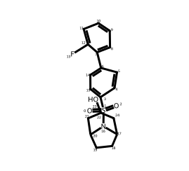 O=S(=O)(c1ccc(-c2ccccc2F)cc1)N1C2CCC1CC(O)C2